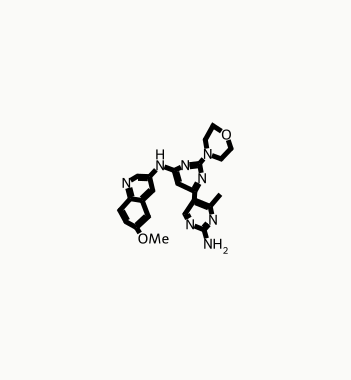 COc1ccc2ncc(Nc3cc(-c4cnc(N)nc4C)nc(N4CCOCC4)n3)cc2c1